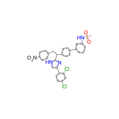 CS(=O)(=O)Nc1cccc(-c2ccc(C(Cc3ccc([N+](=O)[O-])cc3)c3nc(-c4ccc(Cl)cc4Cl)c[nH]3)cc2)c1